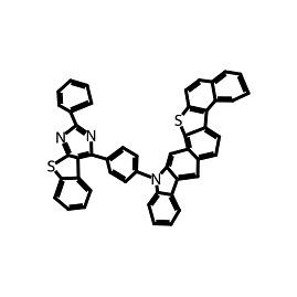 c1ccc(-c2nc(-c3ccc(-n4c5ccccc5c5cc6ccc7c(sc8ccc9ccccc9c87)c6cc54)cc3)c3c(n2)sc2ccccc23)cc1